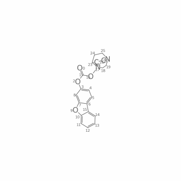 O=C(Oc1ccc2c(c1)oc1ccccc12)ON1CCN2CCC1CC2